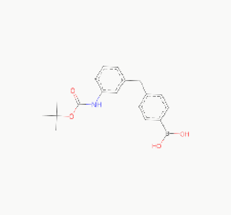 CC(C)(C)OC(=O)Nc1cccc(Cc2ccc(B(O)O)cc2)c1